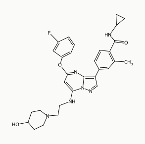 Cc1cc(-c2cnn3c(NCCN4CCC(O)CC4)cc(Oc4cccc(F)c4)nc23)ccc1C(=O)NC1CC1